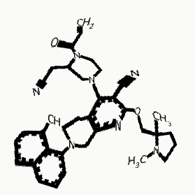 C=CC(=O)N1CCN(c2c(C#N)c(OCC3(C)CCCN3C)nc3c2CCN(c2cccc4cccc(C)c24)C3)CC1CC#N